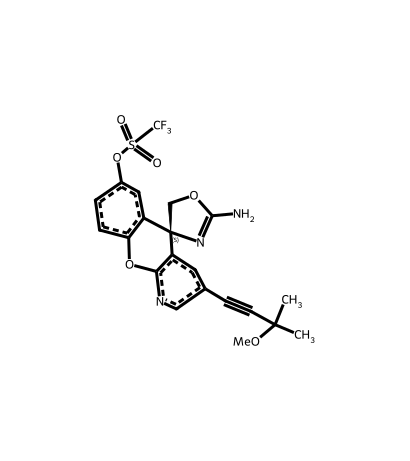 COC(C)(C)C#Cc1cnc2c(c1)[C@]1(COC(N)=N1)c1cc(OS(=O)(=O)C(F)(F)F)ccc1O2